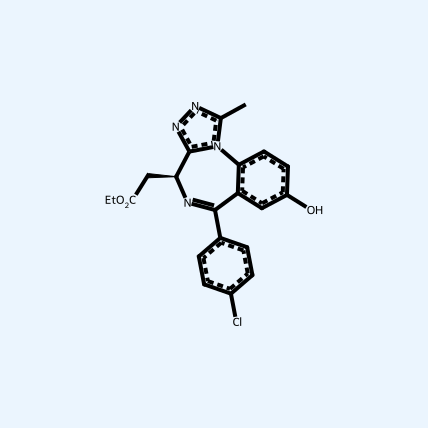 CCOC(=O)C[C@@H]1N=C(c2ccc(Cl)cc2)c2cc(O)ccc2-n2c(C)nnc21